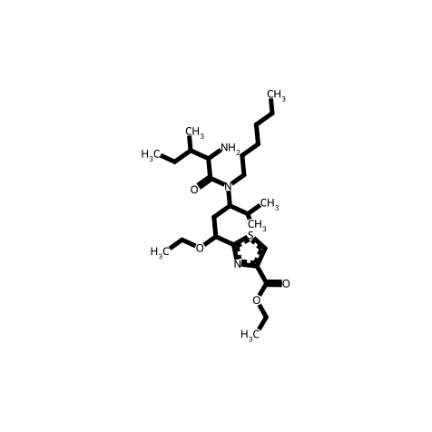 CCCCCCN(C(=O)C(N)C(C)CC)C(CC(OCC)c1nc(C(=O)OCC)cs1)C(C)C